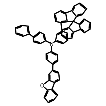 c1ccc(-c2ccc(N(c3ccc(-c4ccc5c(c4)oc4ccccc45)cc3)c3cccc(-c4cccc5c4C4(c6ccccc6-c6ccccc64)c4ccccc4-5)c3)cc2)cc1